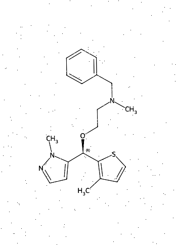 Cc1ccsc1[C@H](OCCN(C)Cc1ccccc1)c1ccnn1C